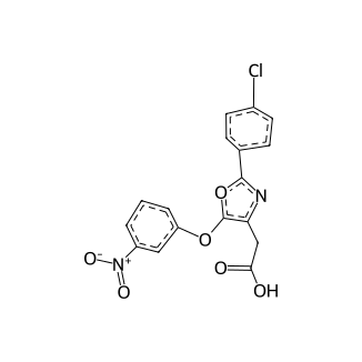 O=C(O)Cc1nc(-c2ccc(Cl)cc2)oc1Oc1cccc([N+](=O)[O-])c1